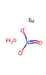 O.O=[N+]([O-])[O-].[Eu]